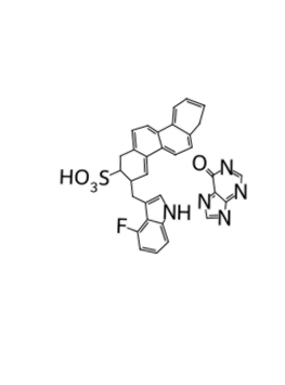 O=C1N=CN=C2N=CN=C12.O=S(=O)(O)C1Cc2ccc3c4c(ccc3c2=CC1Cc1c[nH]c2cccc(F)c12)CC=CC=4